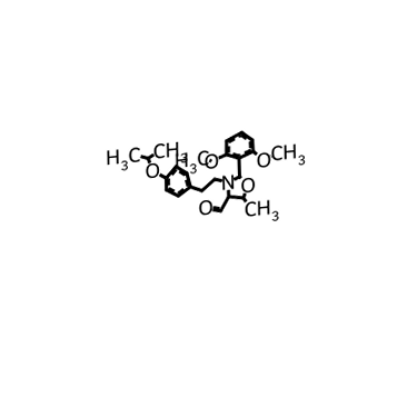 COc1cccc(OC)c1C1OC(C)C(C=O)N1CCc1ccc(OC(C)C)cc1